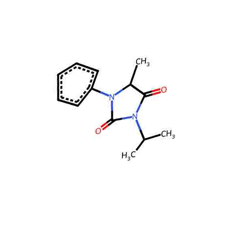 CC(C)N1C(=O)C(C)N(c2ccccc2)C1=O